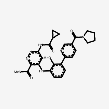 CNC(=O)c1nnc(NC(=O)C2CC2)cc1Nc1cccc(-c2ccc(C(=O)N3CCCC3)cn2)c1OC